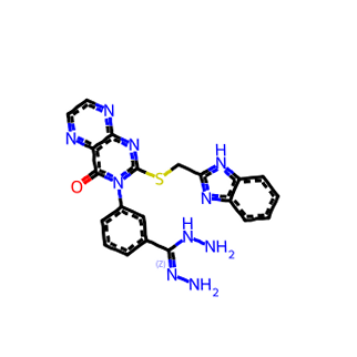 N/N=C(\NN)c1cccc(-n2c(SCc3nc4ccccc4[nH]3)nc3nccnc3c2=O)c1